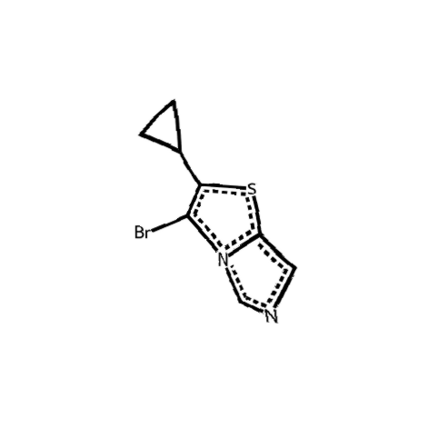 Brc1c(C2CC2)sc2cncn12